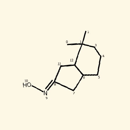 CC1(C)CCCC2CC(=NO)CC21